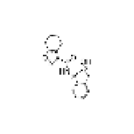 O=C(N[C@H]1c2ccccc2C[C@H]1O)c1noc2c1CCCC2